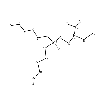 CCCCCCC(C)(CCCCCC)CCN(CC)C(C)C